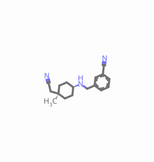 C[C@]1(CC#N)CC[C@@H](NCc2cccc(C#N)c2)CC1